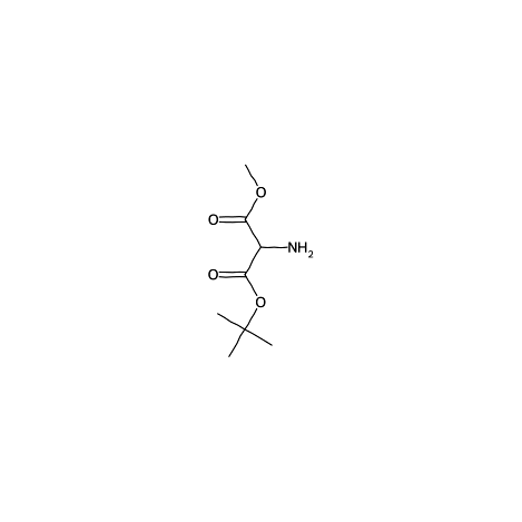 COC(=O)C(N)C(=O)OC(C)(C)C